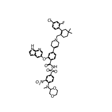 CN(c1ccc(S(=O)(=O)NC(=O)c2ccc(C3=CCN(CC4=C(c5ccc(Cl)cc5F)CC(C)(C)CC4)CC3)cc2Oc2cnc3[nH]ccc3c2)cc1[N+](=O)[O-])C1COCCO1